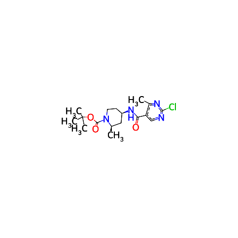 Cc1nc(Cl)ncc1C(=O)N[C@@H]1CCN(C(=O)OC(C)(C)C)[C@H](C)C1